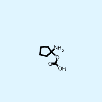 NC1(OC(=O)O)CCCC1